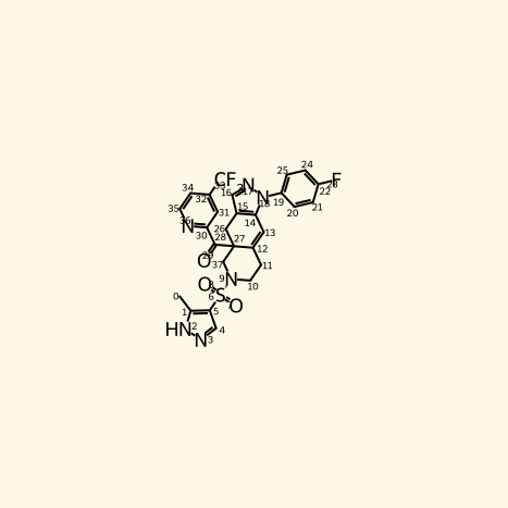 Cc1[nH]ncc1S(=O)(=O)N1CCC2=Cc3c(cnn3-c3ccc(F)cc3)CC2(C(=O)c2cc(C(F)(F)F)ccn2)C1